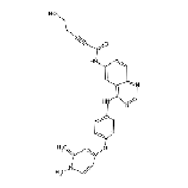 C=C1C=C(Oc2ccc(Nc3ncnc4ccc(NC(=O)C#CCCO)cc34)cc2)C=CN1C